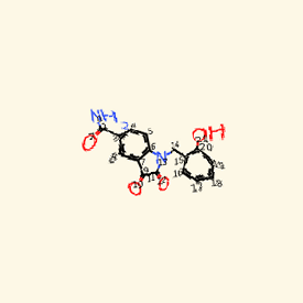 NC(=O)c1ccc2c(c1)C(=O)C(=O)N2Cc1ccccc1O